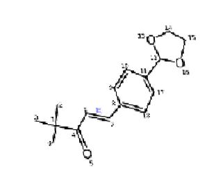 CC(C)(C)C(=O)/C=C/c1ccc(C2OCCO2)cc1